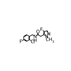 Cn1ncc(F)c1CC(=O)NCc1ccc(F)cc1Cl